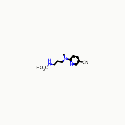 CN(CCCNC(=O)O)c1ccc(C#N)cn1